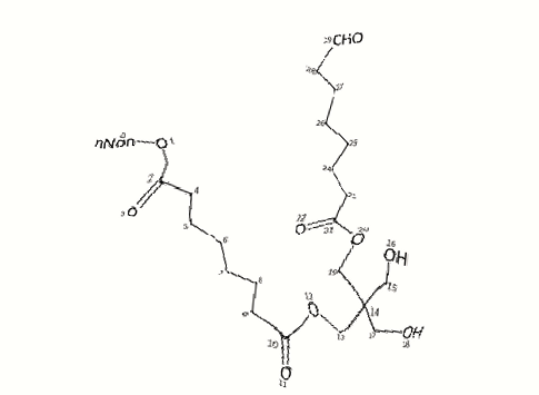 CCCCCCCCCOC(=O)CCCCCCC(=O)OCC(CO)(CO)COC(=O)CCCCCCC=O